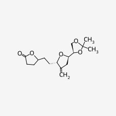 C=C1C[C@H]([C@H]2COC(C)(C)O2)O[C@H]1CCC1CCC(=O)O1